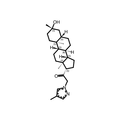 Cc1cnn(CC(=O)[C@H]2CC[C@H]3[C@@H]4CC[C@H]5C[C@@](C)(O)CC[C@]5(C)[C@H]4CC[C@]23C)c1